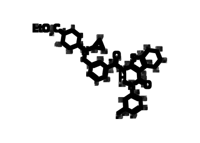 CCOC(=O)C1CCC(N(Cc2cccc(C(=O)Nc3sc4c(c3C(=O)N(C)c3cccc(C)c3)CCCC4)c2)C2CC2)CC1